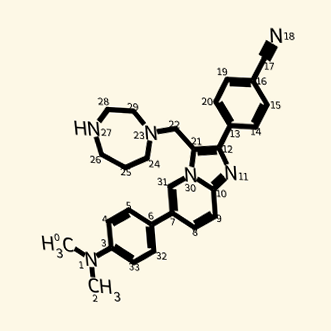 CN(C)c1ccc(-c2ccc3nc(-c4ccc(C#N)cc4)c(CN4CCCNCC4)n3c2)cc1